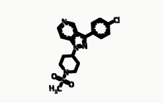 CS(=O)(=O)N1CCC(n2nc(-c3ccc(Cl)cc3)c3cnccc32)CC1